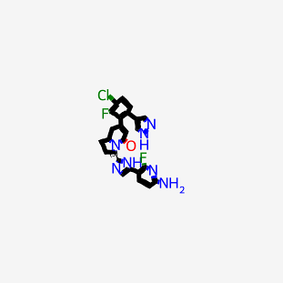 Nc1ccc(-c2cnc([C@@H]3CCC4CC(c5c(-c6cn[nH]c6)ccc(Cl)c5F)=CC(=O)N43)[nH]2)c(F)n1